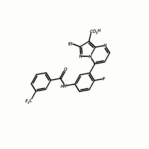 CCc1nn2c(-c3cc(NC(=O)c4cccc(C(F)(F)F)c4)ccc3F)ccnc2c1C(=O)O